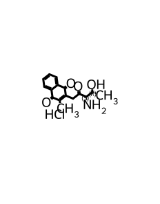 CC1=C(CC(=O)[C@@H](N)[C@@H](C)O)C(=O)c2ccccc2C1=O.Cl